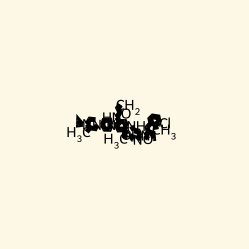 C=CC(=O)Nc1cc(Nc2cc(N3OCCC3Cc3cccc(Cl)c3C)ncn2)c(OC)cc1N1CCC(N2CCN(C3CC3)C(C)C2)CC1